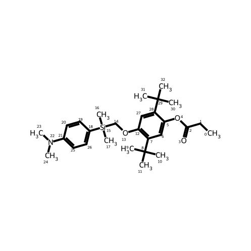 CCC(=O)Oc1cc(C(C)(C)C)c(OC[Si](C)(C)c2ccc(N(C)C)cc2)cc1C(C)(C)C